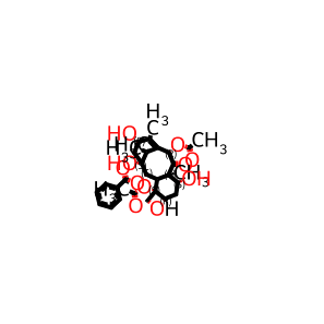 CC(=O)O[C@H]1C(=O)[C@@]2(C)C([C@H](OC(=O)c3ccccc3)[C@]3(O)C[C@H](O)C(C)=C1C3(C)C)[C@]1(OC(C)=O)CO[C@@H]1C[C@@H]2O